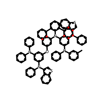 Cc1cccc(N(c2ccccc2)c2cc(C(c3ccccc3)c3csc4ccccc34)cc(N(c3cccc(Oc4cc(N(c5ccccc5)c5ccccc5)cc(N(c5ccccc5)c5csc6ccccc56)c4)c3)c3c(-c4ccccc4)cccc3-c3ccccc3)c2)c1